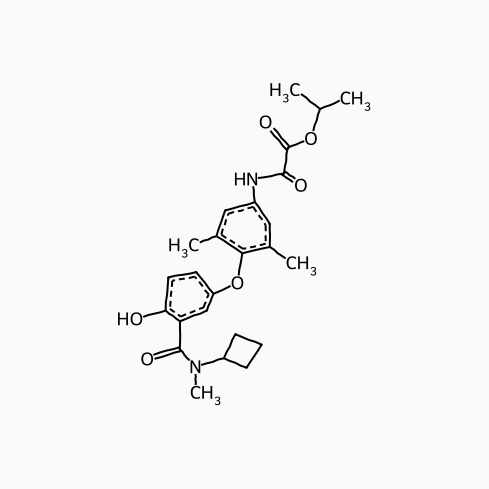 Cc1cc(NC(=O)C(=O)OC(C)C)cc(C)c1Oc1ccc(O)c(C(=O)N(C)C2CCC2)c1